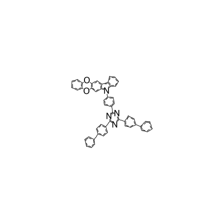 c1ccc(-c2ccc(-c3nc(-c4ccc(-c5ccccc5)cc4)nc(-c4ccc(-n5c6ccccc6c6cc7c(cc65)Oc5ccccc5O7)cc4)n3)cc2)cc1